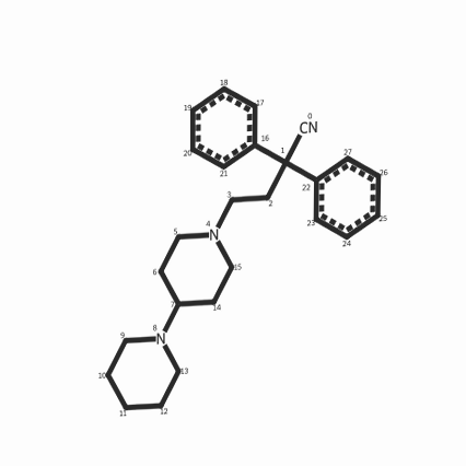 N#CC(CCN1CCC(N2CCCCC2)CC1)(c1ccccc1)c1ccccc1